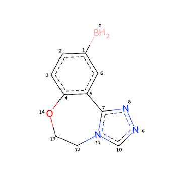 Bc1ccc2c(c1)-c1nncn1CCO2